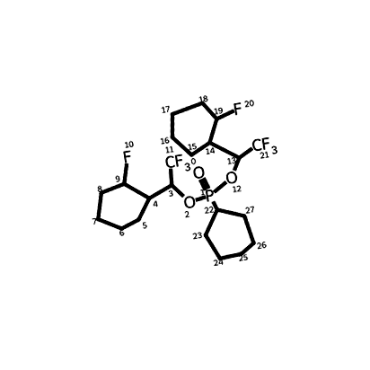 O=P(OC(C1CCCCC1F)C(F)(F)F)(OC(C1CCCCC1F)C(F)(F)F)C1CCCCC1